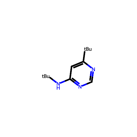 CC(C)(C)Nc1cc(C(C)(C)C)ncn1